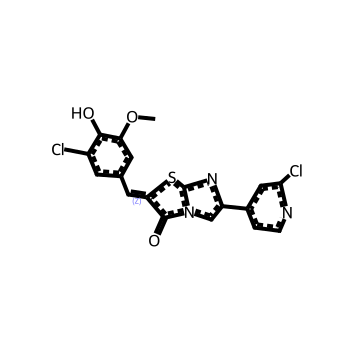 COc1cc(/C=c2\sc3nc(-c4ccnc(Cl)c4)cn3c2=O)cc(Cl)c1O